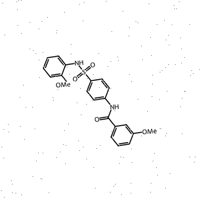 COc1cccc(C(=O)Nc2ccc(S(=O)(=O)Nc3ccccc3OC)cc2)c1